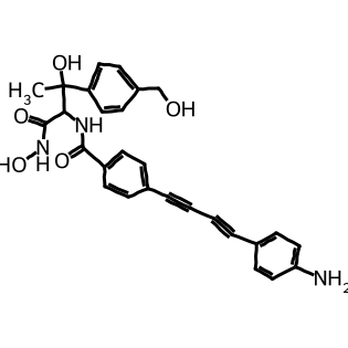 CC(O)(c1ccc(CO)cc1)C(NC(=O)c1ccc(C#CC#Cc2ccc(N)cc2)cc1)C(=O)NO